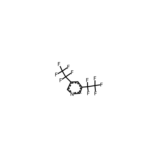 FC(F)(F)C(F)(F)c1[c]ncc(C(F)(F)C(F)(F)F)c1